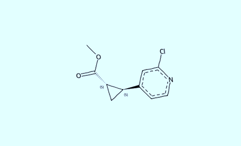 COC(=O)[C@H]1C[C@@H]1c1ccnc(Cl)c1